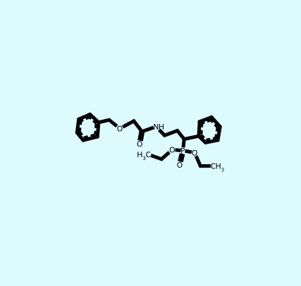 CCOP(=O)(OCC)C(CCNC(=O)COCc1ccccc1)c1ccccc1